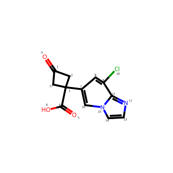 O=C1CC(C(=O)O)(c2cc(Cl)c3nccn3c2)C1